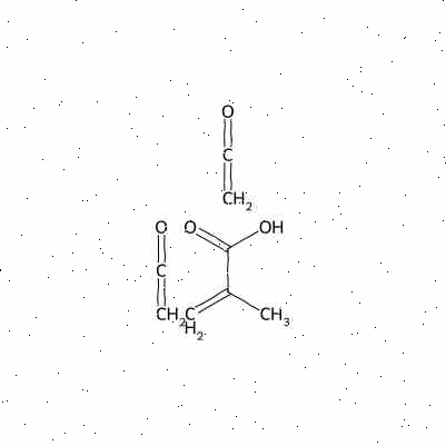 C=C(C)C(=O)O.C=C=O.C=C=O